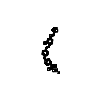 CC(=O)NC1CCN(Cc2ccc(CCn3ccc(OCc4ccco4)cc3=O)cc2)CC1